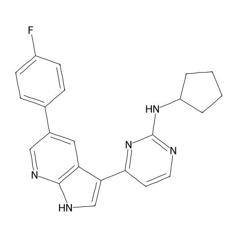 Fc1ccc(-c2cnc3[nH]cc(-c4ccnc(NC5CCCC5)n4)c3c2)cc1